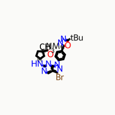 CNC(=O)[C@]1(C)CC[C@@H](Nc2ncc3c(Br)nn(-c4ccc(-c5nnc(C(C)(C)C)o5)cc4)c3n2)C1